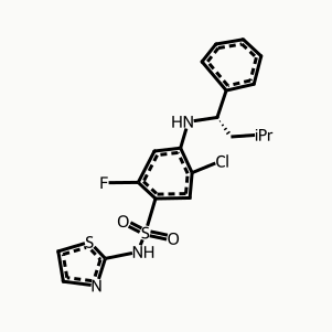 CC(C)C[C@H](Nc1cc(F)c(S(=O)(=O)Nc2nccs2)cc1Cl)c1ccccc1